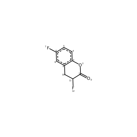 O=C1Oc2ccc(F)cc2CC1F